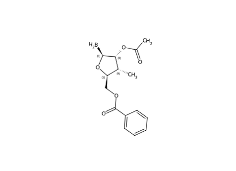 B[C@@H]1O[C@H](COC(=O)c2ccccc2)[C@@H](C)[C@H]1OC(C)=O